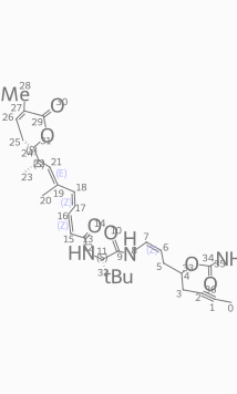 CC#CCC(C/C=C\NC(=O)[C@@H](NC(=O)\C=C/C=C\C(C)=C\[C@H](C)[C@@H]1CC=C(OC)C(=O)O1)C(C)(C)C)OC(N)=O